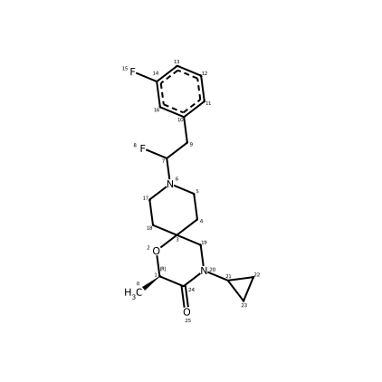 C[C@H]1OC2(CCN(C(F)Cc3cccc(F)c3)CC2)CN(C2CC2)C1=O